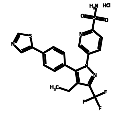 CCc1c(C(F)(F)F)nn(-c2ccc(S(N)(=O)=O)nc2)c1-c1ccc(-c2cncs2)cc1.Cl